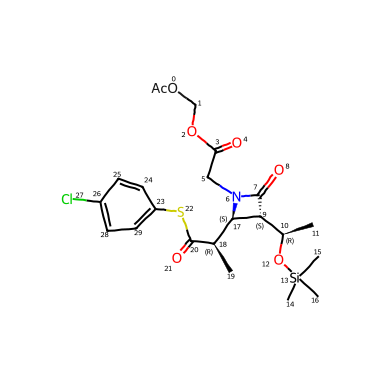 CC(=O)OCOC(=O)CN1C(=O)[C@H]([C@@H](C)O[Si](C)(C)C)[C@H]1[C@@H](C)C(=O)Sc1ccc(Cl)cc1